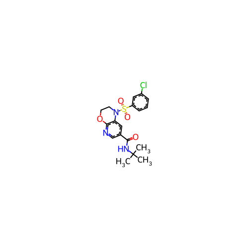 CC(C)(C)NC(=O)c1cnc2c(c1)N(S(=O)(=O)c1cccc(Cl)c1)CCO2